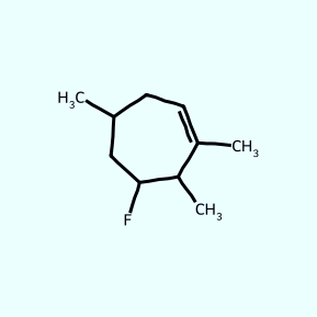 CC1=CCC(C)CC(F)C1C